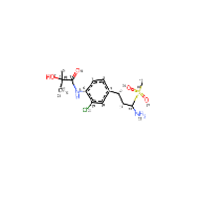 C[C@@](O)(C(=O)Nc1ccc(CCC(N)S(C)(=O)=O)cc1Cl)C(F)(F)F